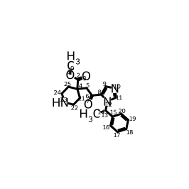 COC(=O)C1(CC(=O)c2cncn2[C@H](C)c2ccccc2)CCNCC1